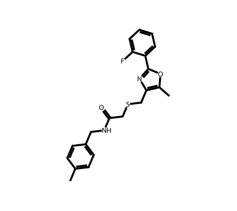 Cc1ccc(CNC(=O)CSCc2nc(-c3ccccc3F)oc2C)cc1